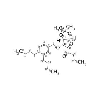 CCCCc1ccc(CO[C@@H]2[C@H]3OC(C)(C)O[C@H]3O[C@@H]2C(=O)CCC)cc1CCCC